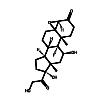 C[C@]12C[C@H](O)[C@@]3(F)[C@@H](CCC45O[C@H]4C(=O)CC[C@@]53C)[C@@H]1CC[C@]2(O)C(=O)CO